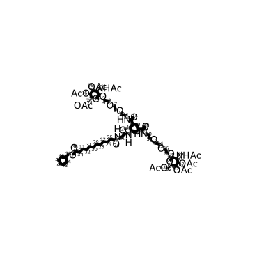 CC(=O)N[C@H]1C(OCCOCCOCCNC(=O)c2cc(NC(=O)CNC(=O)CCCCCCCCCCC(=O)OCc3ccccc3)cc(C(=O)NCCOCCOCCOC3O[C@H](COC(C)=O)[C@H](OC(C)=O)[C@H](OC(C)=O)[C@H]3NC(C)=O)c2)O[C@H](COC(C)=O)[C@H](OC(C)=O)[C@@H]1OC(C)=O